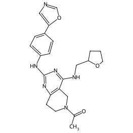 CC(=O)N1CCc2nc(Nc3ccc(-c4cnco4)cc3)nc(NCC3CCCO3)c2C1